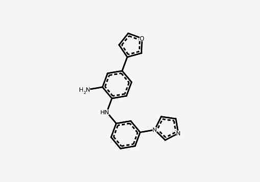 Nc1cc(-c2ccoc2)ccc1Nc1cccc(-n2ccnc2)c1